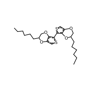 CCCCCCC1COc2c(csc2-c2scc3c2OC(CCCCCC)CO3)O1